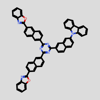 c1ccc2oc(-c3ccc4cc(-c5nc(-c6ccc7cc(-c8nc9ccccc9o8)ccc7c6)nc(-c6ccc7ccc(-n8c9ccccc9c9ccccc98)cc7c6)n5)ccc4c3)nc2c1